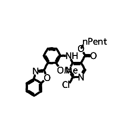 CCCCCOC(=O)c1cnc(Cl)nc1Nc1cccc(-c2nc3ccccc3o2)c1OC